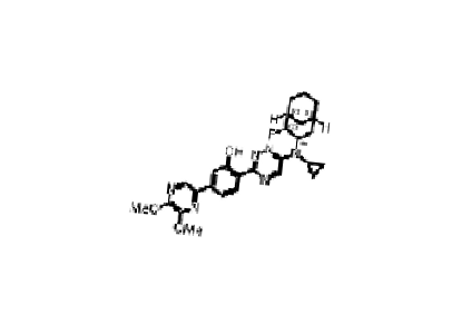 COc1ncc(-c2ccc(-c3ncc(N(C4CC4)[C@@H]4C[C@H]5CCC[C@H](C5)[C@@H]4F)nn3)c(O)c2)nc1OC